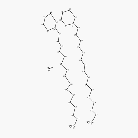 O=C([O-])CCCCCCCCCCCCCCCC1CCCCC1.O=C([O-])CCCCCCCCCCCCCCCC1CCCCC1.[Fe+2]